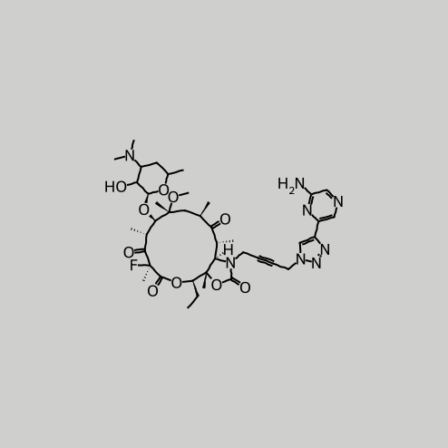 CC[C@H]1OC(=O)[C@@](C)(F)C(=O)[C@H](C)[C@@H](O[C@@H]2OC(C)CC(N(C)C)C2O)[C@](C)(OC)C[C@@H](C)C(=O)[C@H](C)[C@H]2N(CC#CCn3cc(-c4cncc(N)n4)nn3)C(=O)O[C@]12C